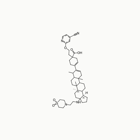 CC1C(C2=CCC(CCOc3cc(C#N)ccn3)(C(=O)O)CC2)=CCC2(C)C1CCC1(C)C2CCC2[C@H]3CCCC3(NCCN3CCS(=O)(=O)CC3)CC[C@]21C